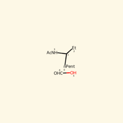 CCCCCC(CC)NC(C)=O.O=CO